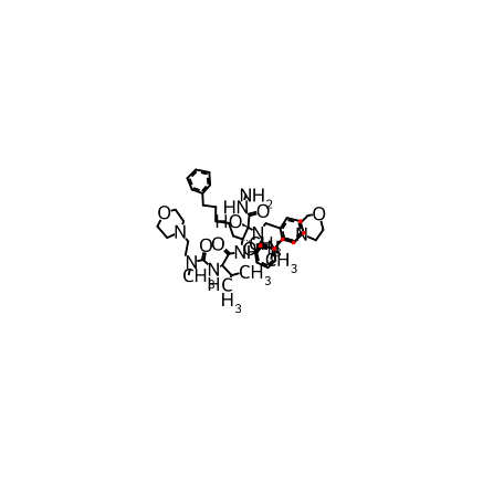 CC(C)[C@H](NC(=O)N(C)CCN1CCOCC1)C(=O)N[C@@](C)(CCCCCc1ccccc1)[C@](O)(C(=O)NN)N(Cc1ccccc1-c1ccccc1)C(=O)N(C)CCN1CCOCC1